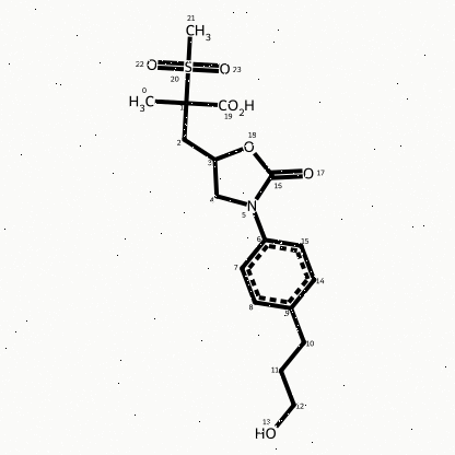 CC(CC1CN(c2ccc(CCCO)cc2)C(=O)O1)(C(=O)O)S(C)(=O)=O